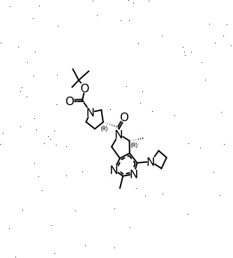 Cc1nc2c(c(N3CCC3)n1)[C@@H](C)N(C(=O)[C@@H]1CCN(C(=O)OC(C)(C)C)C1)C2